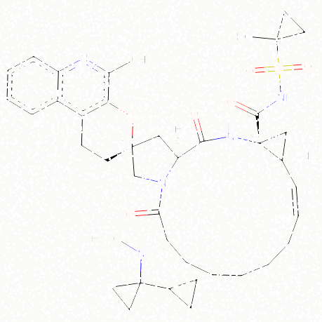 Cc1nc2ccccc2c2c1O[C@]1(CC2)C[C@H]2C(=O)N[C@]3(C(=O)NS(=O)(=O)C4(C)CC4)C[C@H]3/C=C\CCCCC[C@H](N(C(=O)O)C3(C4CC4)CC3)C(=O)N2C1